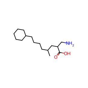 CC(CCCCC1CCCCC1)CC(CN)C(=O)O